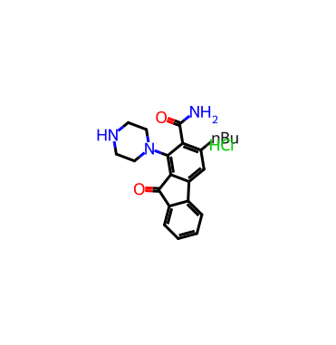 CCCCc1cc2c(c(N3CCNCC3)c1C(N)=O)C(=O)c1ccccc1-2.Cl